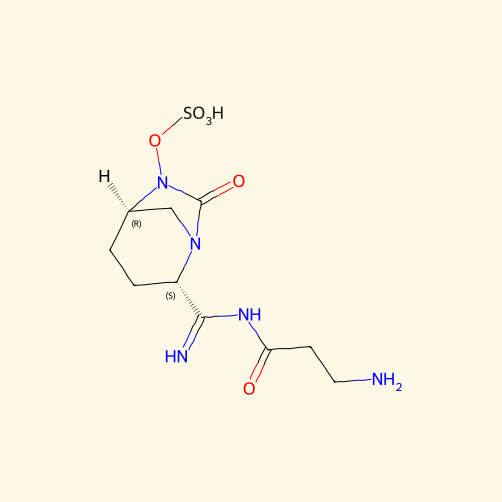 N=C(NC(=O)CCN)[C@@H]1CC[C@@H]2CN1C(=O)N2OS(=O)(=O)O